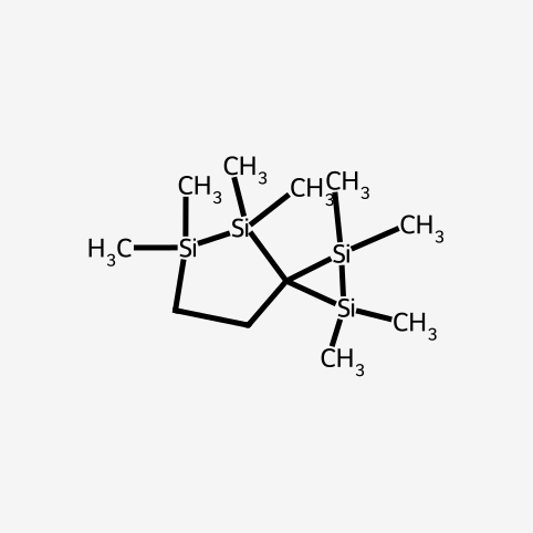 C[Si]1(C)CCC2([Si]1(C)C)[Si](C)(C)[Si]2(C)C